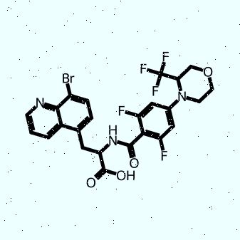 O=C(NC(Cc1ccc(Br)c2ncccc12)C(=O)O)c1c(F)cc(N2CCOCC2C(F)(F)F)cc1F